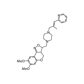 COc1cc2c(cc1OC)C1=NOC(CN3CCN(C/C(C)=C/c4ccccn4)CC3)C1CO2